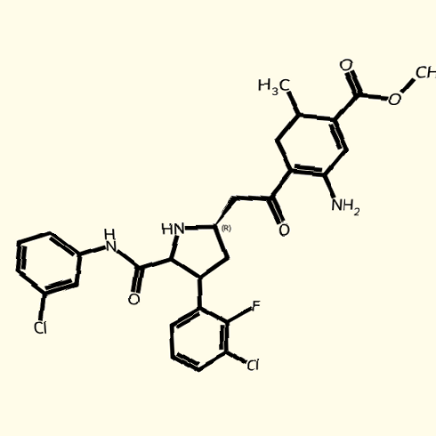 COC(=O)C1=CC(N)=C(C(=O)C[C@H]2CC(c3cccc(Cl)c3F)C(C(=O)Nc3cccc(Cl)c3)N2)CC1C